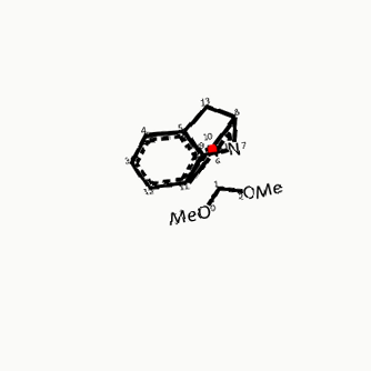 COCOC.c1cc2c3nc(cnc3c1)C2